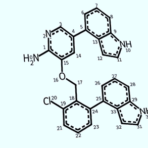 Nc1ncc(-c2cccc3[nH]ccc23)cc1OCc1c(Cl)cccc1-c1cccc2[nH]ccc12